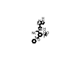 CN(C(=O)c1cccc(C(CC#N)n2cc(-c3ncnc4[nH]ccc34)cn2)c1)c1ccccc1.O=C(O)C(F)(F)F